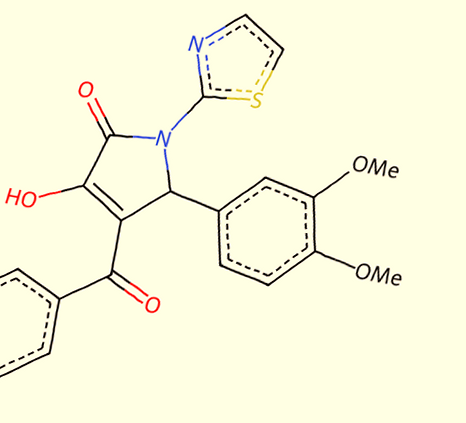 COc1ccc(C2C(C(=O)c3ccccc3)=C(O)C(=O)N2c2nccs2)cc1OC